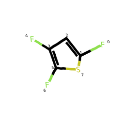 Fc1cc(F)c(F)s1